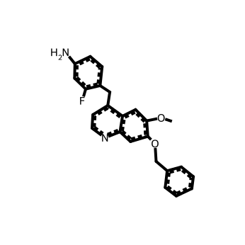 COc1cc2c(Cc3ccc(N)cc3F)ccnc2cc1OCc1ccccc1